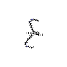 CCCCC/C=C\C/C=C\CCCCCCCCOC(N)C(CN1CCCC(O)C1)OCCCCCCCC/C=C\C/C=C\CCCCC